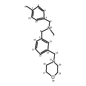 [CH2]c1ccc(CN(C)Cc2cccc(CN3CCOCC3)c2)cc1